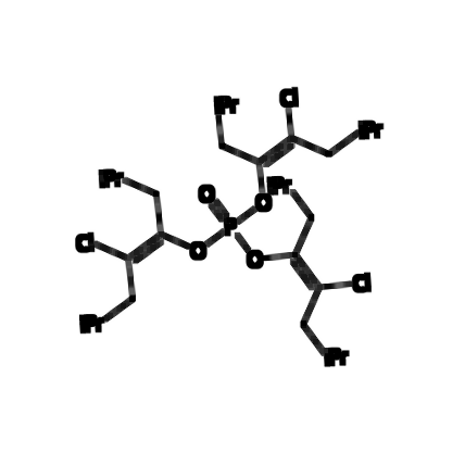 CC(C)C/C(Cl)=C(/CC(C)C)OP(=O)(O/C(CC(C)C)=C(/Cl)CC(C)C)O/C(CC(C)C)=C(/Cl)CC(C)C